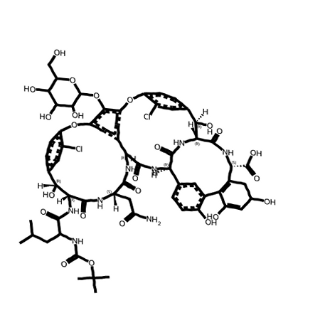 CC(C)CC(NC(=O)OC(C)(C)C)C(=O)N[C@H]1C(=O)N[C@@H](CC(N)=O)C(=O)N[C@H]2C(=O)N[C@H]3C(=O)N[C@@H](C(=O)N[C@H](C(=O)O)C4=C(C(O)=CC(O)C4)c4cc3ccc4O)[C@H](O)c3ccc(c(Cl)c3)Oc3cc2cc(c3OC2OC(CO)C(O)C(O)C2O)Oc2ccc(cc2Cl)[C@H]1O